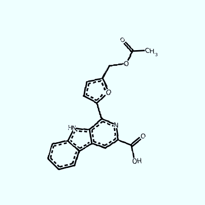 CC(=O)OCc1ccc(-c2nc(C(=O)O)cc3c2[nH]c2ccccc23)o1